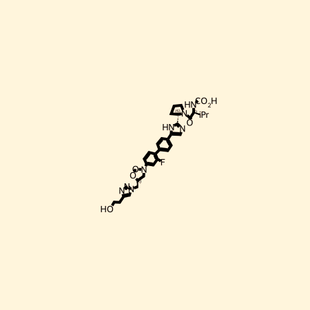 CC(C)[C@H](NC(=O)O)C(=O)N1CCC[C@H]1c1ncc(-c2ccc(-c3ccc(N4C[C@@H](Cn5cc(CCO)nn5)OO4)cc3F)cc2)[nH]1